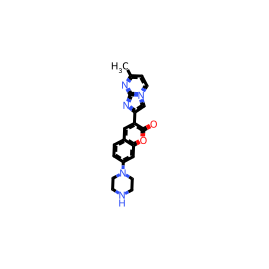 Cc1ccn2cc(-c3cc4ccc(N5CCNCC5)cc4oc3=O)nc2n1